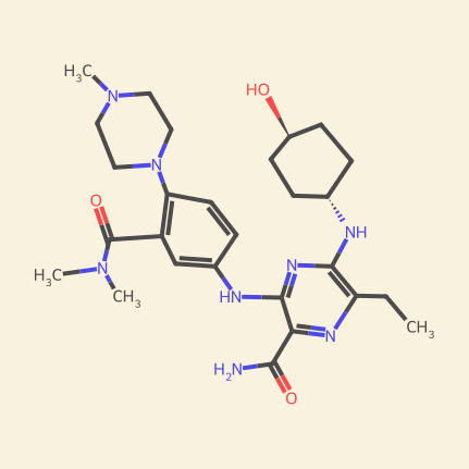 CCc1nc(C(N)=O)c(Nc2ccc(N3CCN(C)CC3)c(C(=O)N(C)C)c2)nc1N[C@H]1CC[C@H](O)CC1